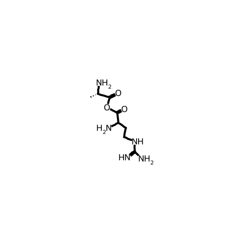 C[C@H](N)C(=O)OC(=O)C(N)CCNC(=N)N